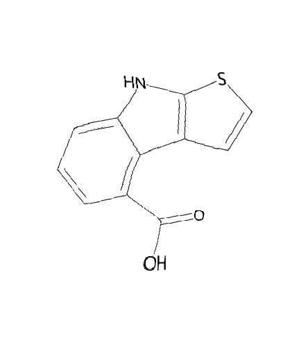 O=C(O)c1cccc2[nH]c3sccc3c12